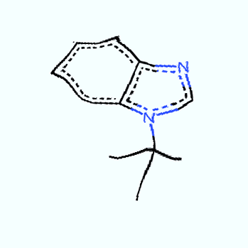 CC(C)(C)n1cnc2c[c]ccc21